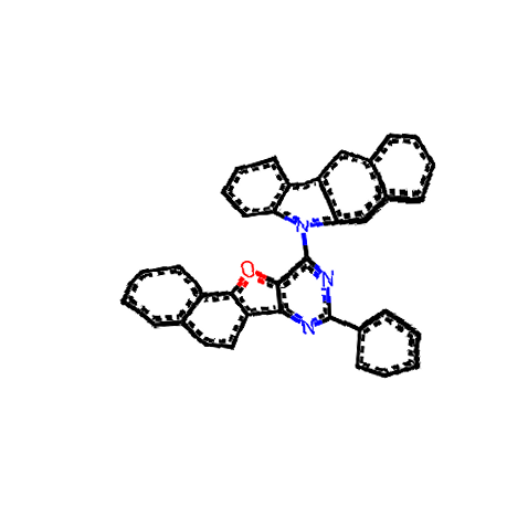 c1ccc(-c2nc(-n3c4ccccc4c4cc5ccccc5cc43)c3oc4c5ccccc5ccc4c3n2)cc1